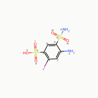 Nc1cc(I)c(S(=O)(=O)O)cc1S(N)(=O)=O